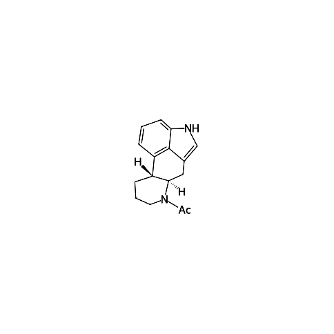 CC(=O)N1CCC[C@@H]2c3cccc4[nH]cc(c34)C[C@H]21